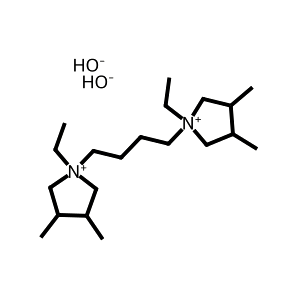 CC[N+]1(CCCC[N+]2(CC)CC(C)C(C)C2)CC(C)C(C)C1.[OH-].[OH-]